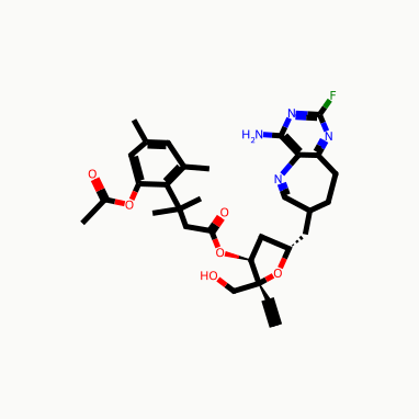 C#C[C@]1(CO)O[C@@H](CC2C=Nc3c(N)nc(F)nc3CC2)C[C@@H]1OC(=O)CC(C)(C)c1c(C)cc(C)cc1OC(C)=O